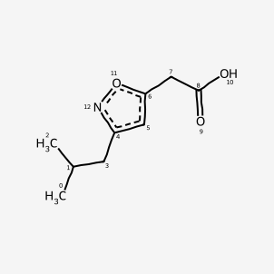 CC(C)Cc1cc(CC(=O)O)on1